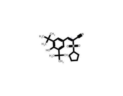 CC(C)(C)c1cc(/C=C(/C#N)S(=O)(=O)C2CCCC2)cc(C(C)(C)C)c1O